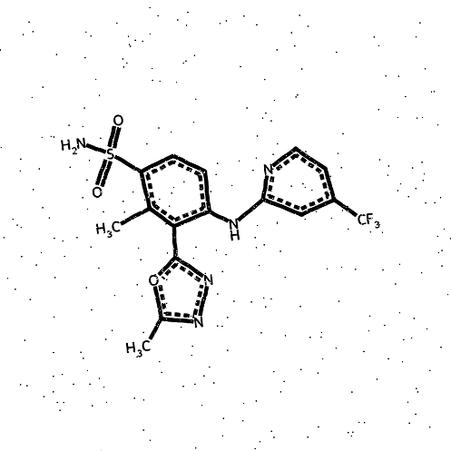 Cc1nnc(-c2c(Nc3cc(C(F)(F)F)ccn3)ccc(S(N)(=O)=O)c2C)o1